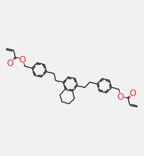 C=CC(=O)OCc1ccc(CCc2ccc(CCc3ccc(COC(=O)C=C)cc3)c3c2CCCC3)cc1